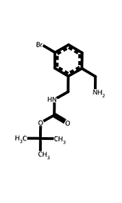 CC(C)(C)OC(=O)NCc1cc(Br)ccc1CN